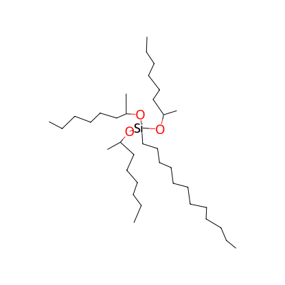 CCCCCCCCCCCC[Si](OC(C)CCCCCC)(OC(C)CCCCCC)OC(C)CCCCCC